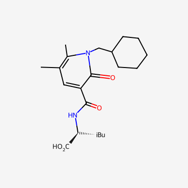 CC[C@@H](C)[C@H](NC(=O)c1cc(C)c(C)n(CC2CCCCC2)c1=O)C(=O)O